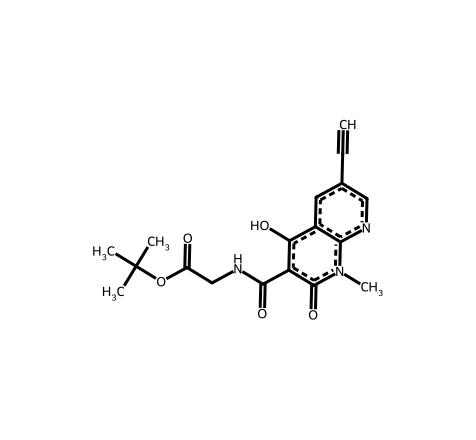 C#Cc1cnc2c(c1)c(O)c(C(=O)NCC(=O)OC(C)(C)C)c(=O)n2C